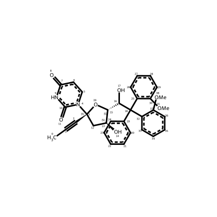 CC#C[C@]1(n2ccc(=O)[nH]c2=O)C[C@H](O)[C@@H](C(O)C(c2ccccc2)(c2ccccc2OC)c2ccccc2OC)O1